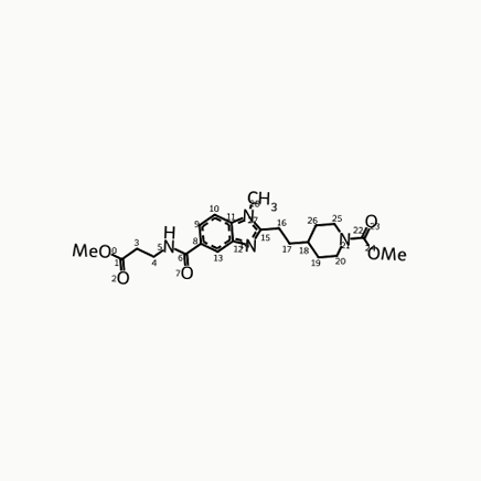 COC(=O)CCNC(=O)c1ccc2c(c1)nc(CCC1CCN(C(=O)OC)CC1)n2C